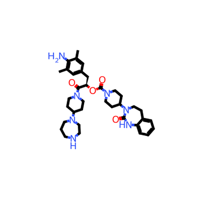 Cc1cc(C[C@@H](OC(=O)N2CCC(N3CCc4ccccc4NC3=O)CC2)C(=O)N2CCC(N3CCCNCC3)CC2)cc(C)c1N